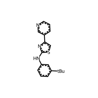 CC(C)(C)c1cccc(Nc2nc(-c3cccnc3)cs2)c1